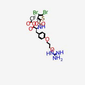 N=C(N)NOCCCOc1ccc(C[C@H](NS(=O)(=O)c2cc(Br)c(Br)s2)C(=O)OC(=O)C(F)(F)F)cc1